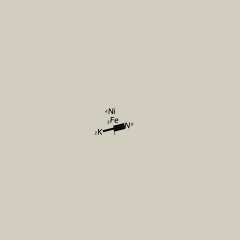 N#[C][K].[Fe].[Ni]